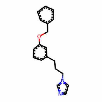 c1ccc(COc2cccc(CCCn3ccnc3)c2)cc1